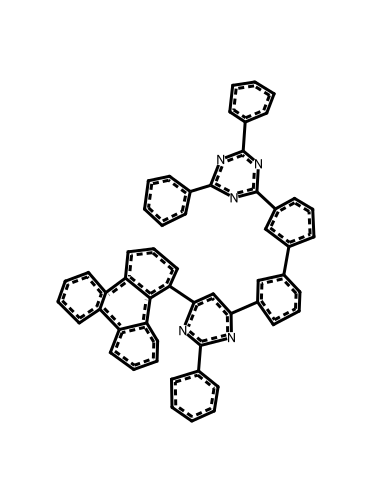 c1ccc(-c2nc(-c3cccc(-c4cccc(-c5nc(-c6ccccc6)nc(-c6ccccc6)n5)c4)c3)cc(-c3cccc4c5ccccc5c5ccccc5c34)n2)cc1